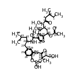 CC[C@H](C)CC(=O)N(C)C(C[C@@H](OC(C)=O)c1nc(C(=O)N[C@@H](Cc2ccc3c(c2)NC(=O)C(C)(CCO)OP(O)O3)CC(C)C)cs1)C(C)C